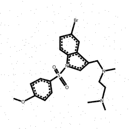 COc1ccc(S(=O)(=O)n2cc(CN(C)CCN(C)C)c3cc(Br)ccc32)cc1